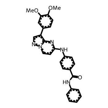 COc1ccc(-c2cnn3ccc(Nc4ccc(C(=O)Nc5ccccc5)cc4)nc23)cc1OC